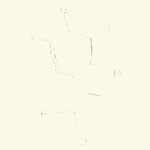 CCC(O)C1OBc2c1cc(Cl)c(N)c2Cl